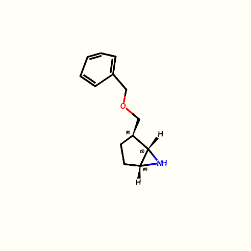 c1ccc(COC[C@@H]2CC[C@H]3N[C@@H]23)cc1